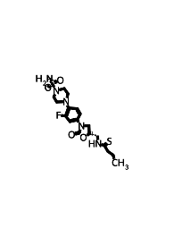 CCCC(=S)NC[C@H]1CN(c2ccc(N3CCN(S(N)(=O)=O)CC3)c(F)c2)C(=O)O1